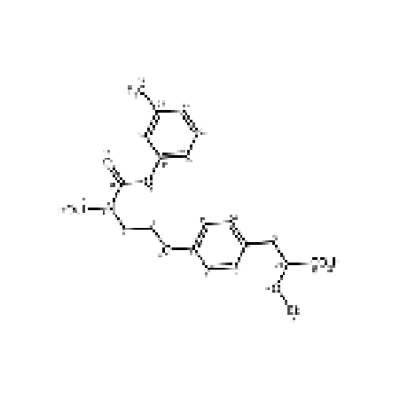 CCCCCCCCN(CCOc1ccc(CC(OCC)C(=O)O)cc1)C(=O)Oc1cccc(C(F)(F)F)c1